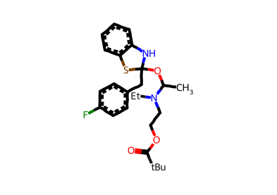 CCN(CCOC(=O)C(C)(C)C)C(C)OC1(Cc2ccc(F)cc2)Nc2ccccc2S1